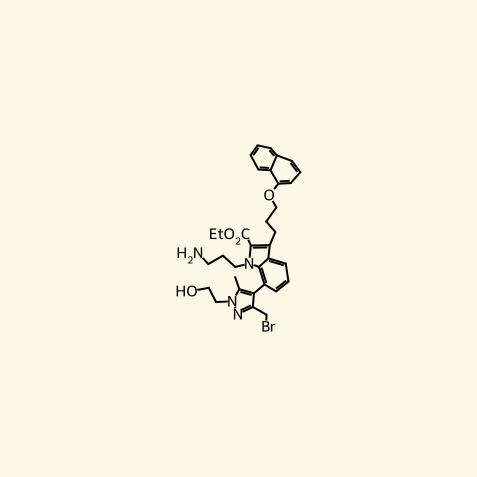 CCOC(=O)c1c(CCCOc2cccc3ccccc23)c2cccc(-c3c(CBr)nn(CCO)c3C)c2n1CCCN